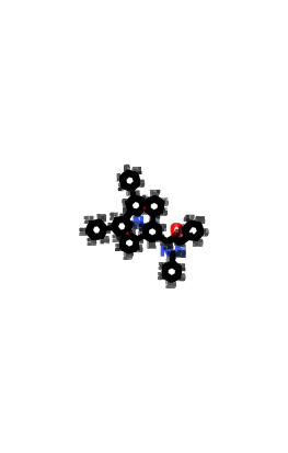 c1ccc(-c2ccc3c(c2)c2cc(-c4ccccc4)ccc2n3-c2c(-c3ccccc3)cc(-c3nc(-c4ccccc4)nc4c3oc3ccccc34)cc2-c2ccccc2)cc1